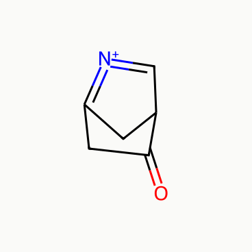 O=C1CC2=[N+]=CC1C2